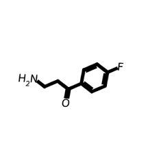 NCCC(=O)c1ccc(F)cc1